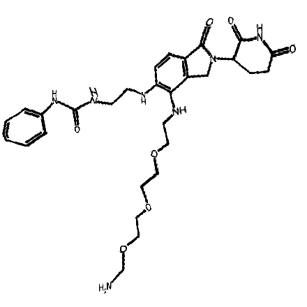 NCOCCOCCOCCNc1c(NCCNC(=O)Nc2ccccc2)ccc2c1CN(C1CCC(=O)NC1=O)C2=O